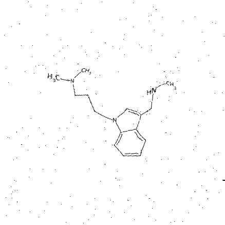 CNCc1cn(CCCN(C)C)c2ccccc12